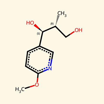 COc1ccc([C@@H](O)[C@H](C)CO)cn1